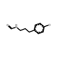 O=CNCCCc1ccc(Cl)cc1